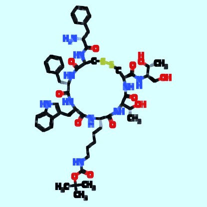 C[C@@H](O)C1NC(=O)[C@H](CCCCCNC(=O)OC(C)(C)C)NC(=O)[C@@H](Cc2c[nH]c3ccccc23)NC(=O)[C@H](Cc2ccccc2)NC(=O)[C@@H](NC(=O)[C@H](N)Cc2ccccc2)CSSC[C@@H](C(=O)N[C@H](CO)[C@@H](C)O)NC1=O